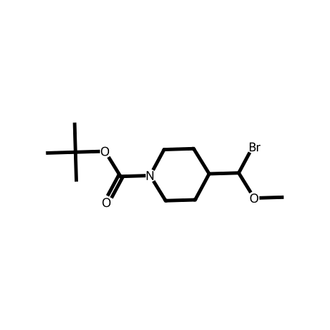 COC(Br)C1CCN(C(=O)OC(C)(C)C)CC1